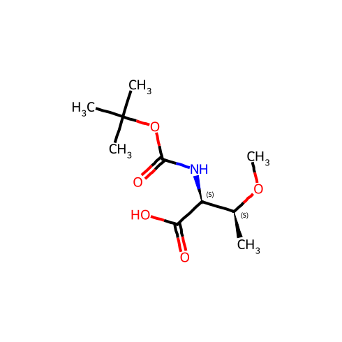 CO[C@@H](C)[C@H](NC(=O)OC(C)(C)C)C(=O)O